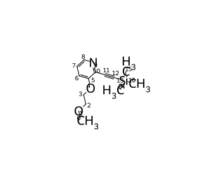 COCCOc1cccnc1C#C[Si](C)(C)C